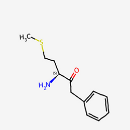 CSCC[C@H](N)C(=O)Cc1ccccc1